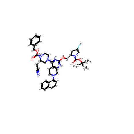 CC(C)(C)OC(=O)N1C[C@H](F)C[C@@H]1COc1nc2c(c(N3CCN(C(=O)OCc4ccccc4)[C@H](CC#N)C3)n1)CCN(c1cccc3ccccc13)C2